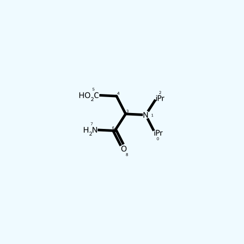 CC(C)N(C(C)C)C(CC(=O)O)C(N)=O